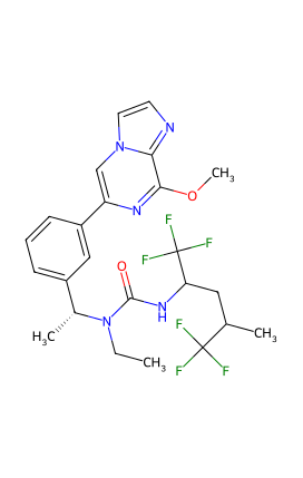 CCN(C(=O)NC(CC(C)C(F)(F)F)C(F)(F)F)[C@H](C)c1cccc(-c2cn3ccnc3c(OC)n2)c1